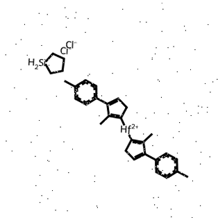 C1CC[SiH2]C1.CC1=[C]([Hf+2][C]2=C(C)C(c3ccc(C)cc3)=CC2)CC=C1c1ccc(C)cc1.[Cl-].[Cl-]